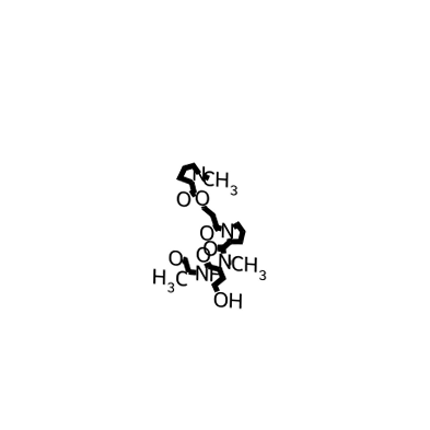 CC(C=O)NC(=O)C(CCO)N(C)C(=O)C1CCCN1C(=O)CCOC(=O)C1CCCN1C